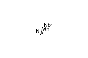 [Al].[Mn].[Nb].[Ni]